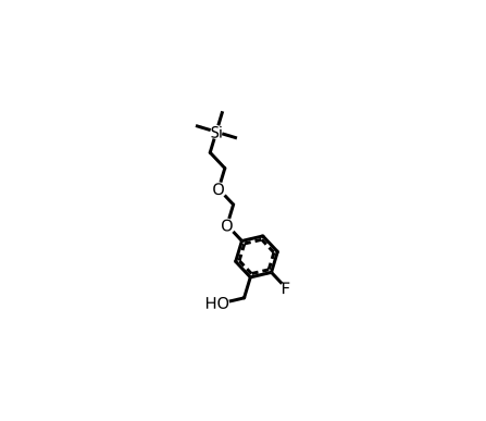 C[Si](C)(C)CCOCOc1ccc(F)c(CO)c1